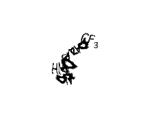 Cc1cc(Nc2cccc(OCCN3CCN(c4cccc(C(F)(F)F)c4)CC3)c2)c2ccccc2n1